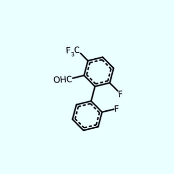 O=Cc1c(C(F)(F)F)ccc(F)c1-c1ccccc1F